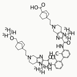 [2H]C([2H])([2H])OCC12CCC(CCN3CCc4c(nc(C(=O)Nc5cccc(-c6cccc(NC(=O)c7nc8c(n7C([2H])([2H])[2H])CCN(CCC79CCC(C(=O)O)(CC7)C9)C8)c6C)c5Cl)n4C([2H])([2H])[2H])C3)(CC1)C2